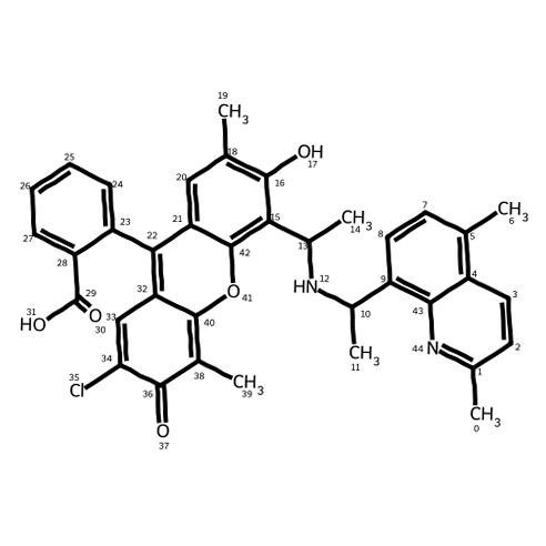 Cc1ccc2c(C)ccc(C(C)NC(C)c3c(O)c(C)cc4c(-c5ccccc5C(=O)O)c5cc(Cl)c(=O)c(C)c-5oc34)c2n1